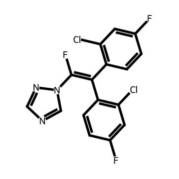 FC(=C(c1ccc(F)cc1Cl)c1ccc(F)cc1Cl)n1cncn1